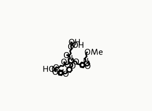 COCCCN1CCOc2ccc(COC3CN(C(=O)CCCON(O)O)CC(OC(=O)CCCON(O)O)C3OC3CCC(Oc4ccccc4)CC3)cc21